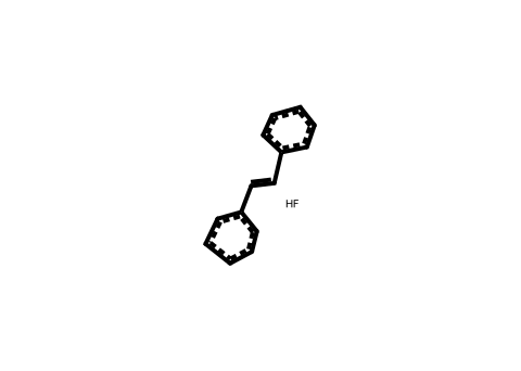 C(=Cc1ccccc1)c1ccccc1.F